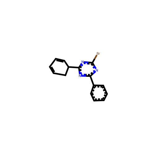 Brc1nc(-c2ccccc2)nc(C2C=CC=CC2)n1